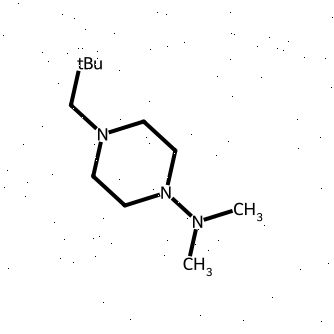 CN(C)N1CCN(CC(C)(C)C)CC1